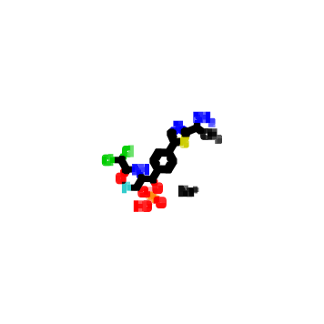 CC(N)c1ncc(-c2ccc(C(OP(=O)([O-])O)C(CF)NC(=O)C(Cl)Cl)cc2)s1.[Na+]